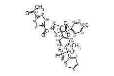 COC(c1ccccc1)(c1ccc([C@]2(S(=O)(=O)c3ccc(F)cc3)CCN(C(=O)N3CCN(C(C)=O)CC3)C2)cc1)C(F)(F)F